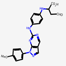 COc1ccc(-n2ncc3cnc(Nc4ccc(NC(CC=O)C(=O)O)cc4)nc32)cc1